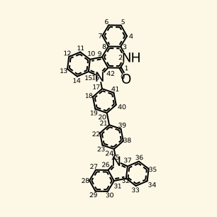 O=c1[nH]c2ccccc2c2c3ccccc3n(-c3ccc(-c4ccc(-n5c6ccccc6c6ccccc65)cc4)cc3)c12